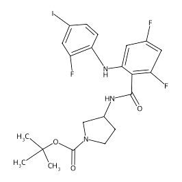 CC(C)(C)OC(=O)N1CCC(NC(=O)c2c(F)cc(F)cc2Nc2ccc(I)cc2F)C1